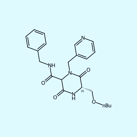 CCCCOC[C@@H]1NC(=O)C(C(=O)NCc2ccccc2)N(Cc2cccnc2)C1=O